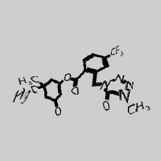 Cn1nnn(Cc2cc(C(F)(F)F)ccc2C(=O)OC2=CC(=O)CC(C)(C)C2)c1=O